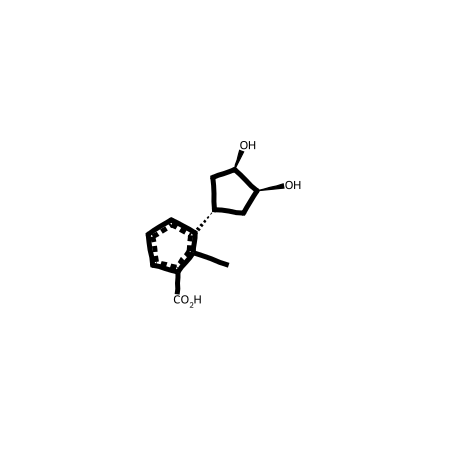 Cc1c(C(=O)O)cccc1[C@@H]1C[C@@H](O)[C@@H](O)C1